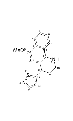 COC(=O)c1ccccc1[C@@H]1CC(c2ccns2)CCN1